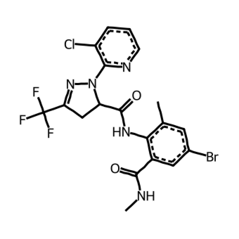 CNC(=O)c1cc(Br)cc(C)c1NC(=O)C1CC(C(F)(F)F)=NN1c1ncccc1Cl